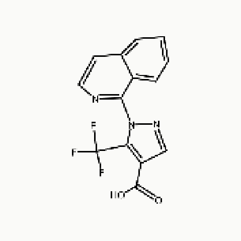 O=C(O)c1cnn(-c2nccc3ccccc23)c1C(F)(F)F